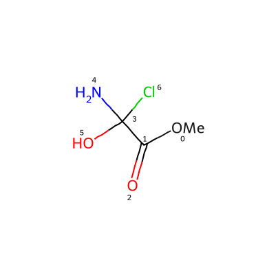 COC(=O)C(N)(O)Cl